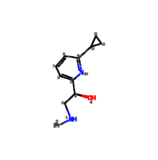 CC(C)NC[C@H](O)c1cccc(C2CC2)n1